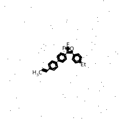 C/C=C/[C@H]1CC[C@H](C2CCC([C@H]3[C@H](C4CCC(CC)CC4)OC3(F)F)CC2)CC1